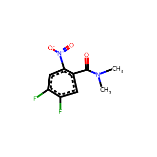 CN(C)C(=O)c1cc(F)c(F)cc1[N+](=O)[O-]